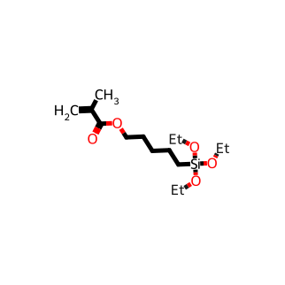 C=C(C)C(=O)OCCCCC[Si](OCC)(OCC)OCC